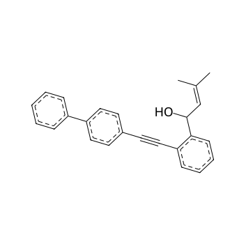 CC(C)=CC(O)c1ccccc1C#Cc1ccc(-c2ccccc2)cc1